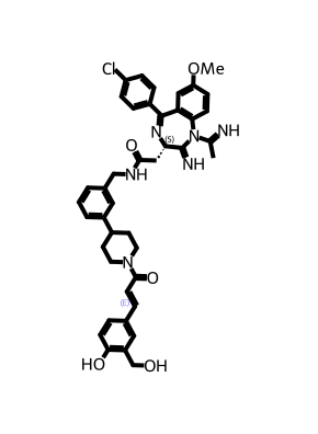 COc1ccc2c(c1)C(c1ccc(Cl)cc1)=N[C@@H](CC(=O)NCc1cccc(C3CCN(C(=O)/C=C/c4ccc(O)c(CO)c4)CC3)c1)C(=N)N2C(C)=N